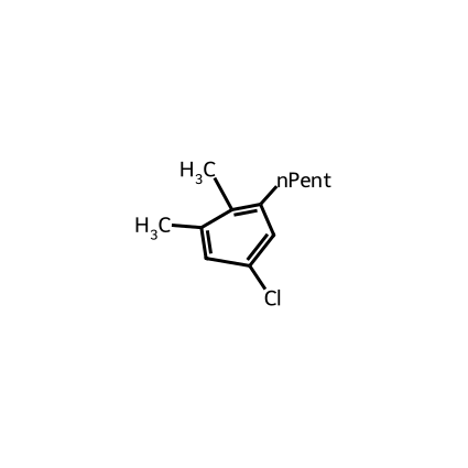 CCCCCc1cc(Cl)cc(C)c1C